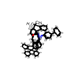 CC1(C)c2ccccc2-c2c(N(c3ccc(-c4ccccc4)cc3)c3ccc(-c4cccc5c4C4(c6ccccc6-5)c5ccccc5-c5c4ccc4ccccc54)cc3)cccc21